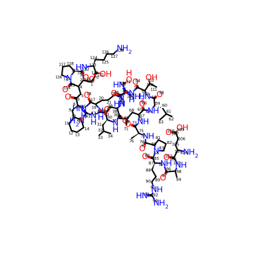 CC[C@H](C)C(CC(=O)[C@H](CC1CCCCC1)NC(=O)C(CCCNC(=N)N)NC(=O)[C@H](CC(C)C)NC(=O)C(CCCNC(=N)N)NC(=O)[C@H](CO)NC(=O)C(NC(=O)[C@H](CC(C)C)NC(=O)C(CC(C)C)NC(=O)[C@H](C)NC(=O)C1CCCN1C(=O)[C@H](CCCNC(=N)N)NC(=O)C(C)NC(=O)C(N)CCC(=O)O)C(C)O)C(=O)N1CCC[C@H]1C(=O)N[C@@H](CCCCN)C(=O)O